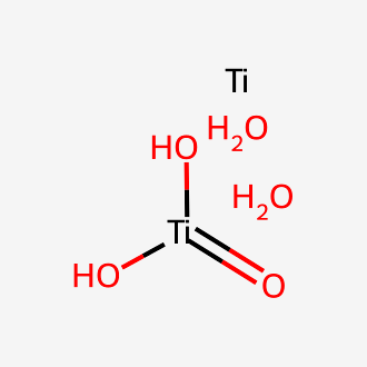 O.O.[O]=[Ti]([OH])[OH].[Ti]